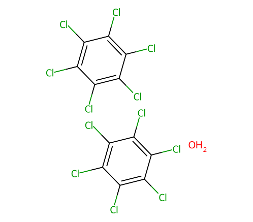 Clc1c(Cl)c(Cl)c(Cl)c(Cl)c1Cl.Clc1c(Cl)c(Cl)c(Cl)c(Cl)c1Cl.O